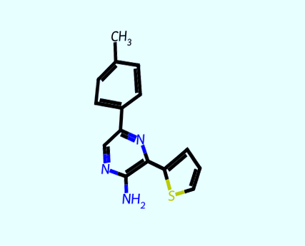 Cc1ccc(-c2cnc(N)c(-c3cccs3)n2)cc1